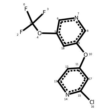 FC(F)(F)Oc1cncc(Oc2ccnc(Cl)c2)c1